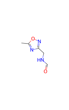 Cc1nc(CNC=O)no1